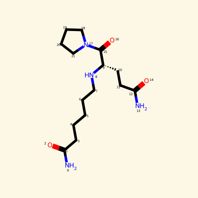 NC(=O)CCCCCN[C@@H](CCC(N)=O)C(=O)N1CCCC1